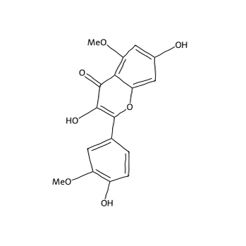 COc1cc(-c2oc3cc(O)cc(OC)c3c(=O)c2O)ccc1O